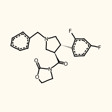 O=C1OCCN1C(=O)[C@H]1CN(Cc2ccccc2)C[C@@H]1c1ccc(F)cc1F